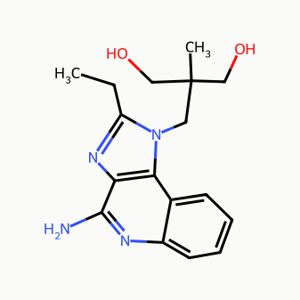 CCc1nc2c(N)nc3ccccc3c2n1CC(C)(CO)CO